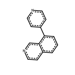 c1cc(-c2ccncc2)c2cnccc2c1